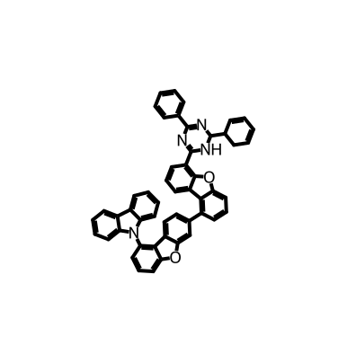 C1=CCC(C2N=C(c3ccccc3)N=C(c3cccc4c3oc3cccc(-c5ccc6c(c5)oc5cccc(-n7c8ccccc8c8ccccc87)c56)c34)N2)C=C1